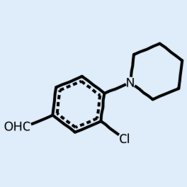 O=Cc1ccc(N2CCCCC2)c(Cl)c1